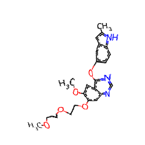 COCCOCCOc1cc2ncnc(Oc3ccc4[nH]c(C)cc4c3)c2cc1OC